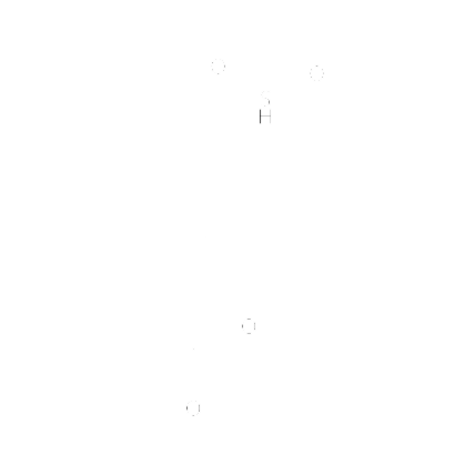 O=c1ccc2cc([SH](=O)=O)ccc2o1